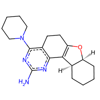 Nc1nc2c(c(N3CCCCC3)n1)CCC1=C2[C@@H]2CCCC[C@@H]2O1